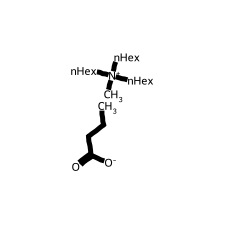 CCCC(=O)[O-].CCCCCC[N+](C)(CCCCCC)CCCCCC